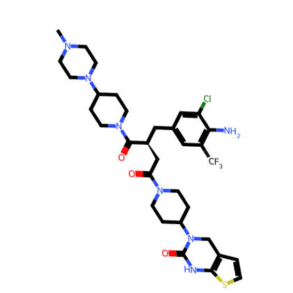 CN1CCN(C2CCN(C(=O)[C@H](CC(=O)N3CCC(N4Cc5ccsc5NC4=O)CC3)Cc3cc(Cl)c(N)c(C(F)(F)F)c3)CC2)CC1